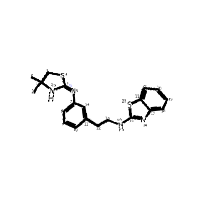 CC1(C)CS/C(=N/c2cccc(CCNc3nc4ccccc4s3)c2)N1